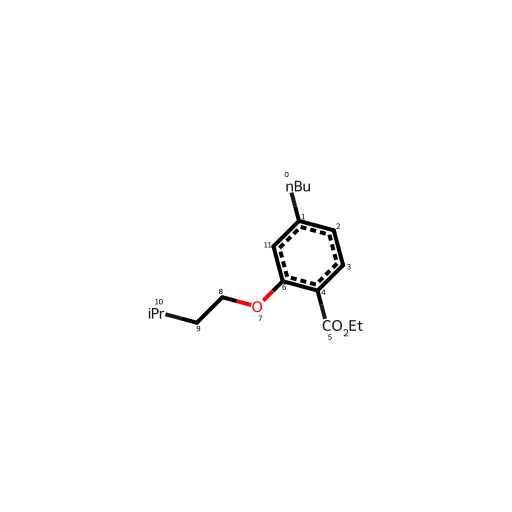 CCCCc1ccc(C(=O)OCC)c(OCCC(C)C)c1